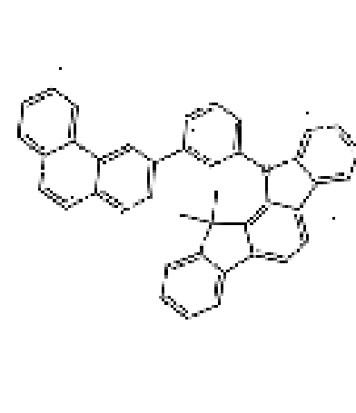 CC1(C)c2ccccc2-c2ccc3c4ccccc4n(-c4cccc(-c5ccc6ccc7ccccc7c6c5)c4)c3c21